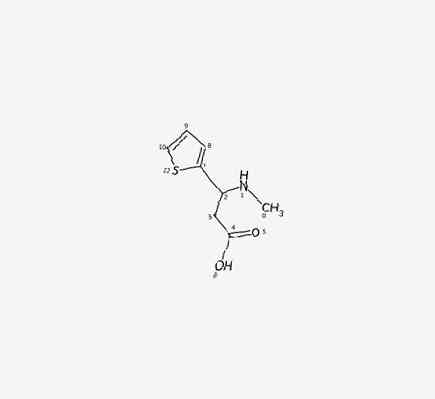 CNC(CC(=O)O)c1cccs1